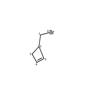 BrCC1C=CC1